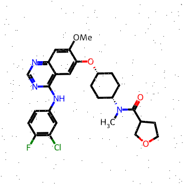 COc1cc2ncnc(Nc3ccc(F)c(Cl)c3)c2cc1O[C@H]1CC[C@@H](N(C)C(=O)C2CCOC2)CC1